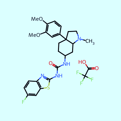 COc1ccc(C23CCC(NC(=O)Nc4nc5ccc(F)cc5s4)CC2N(C)CC3)cc1OC.O=C(O)C(F)(F)F